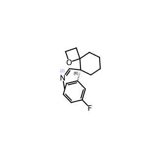 C/N=C\[C@]1(c2cccc(F)c2)CCCCC12CCO2